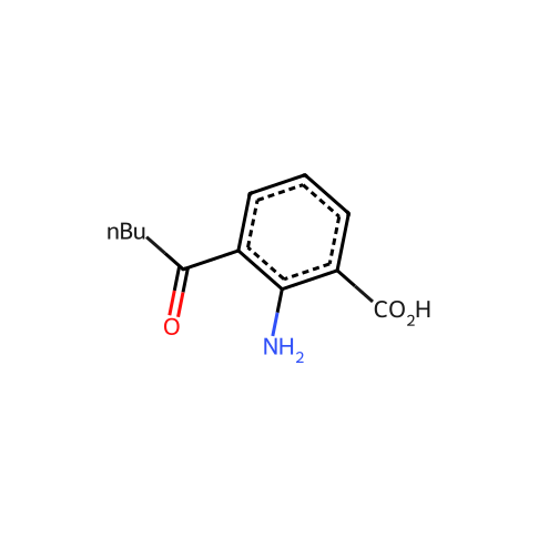 CCCCC(=O)c1cccc(C(=O)O)c1N